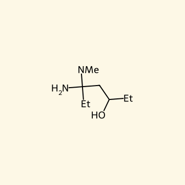 CCC(O)CC(N)(CC)NC